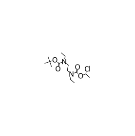 CCN(CCN(CC)C(=O)OC(C)(C)C)C(=O)OC(C)Cl